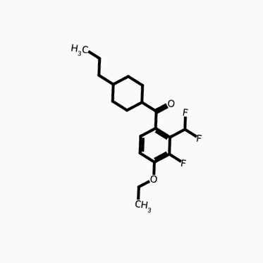 CCCC1CCC(C(=O)c2ccc(OCC)c(F)c2C(F)F)CC1